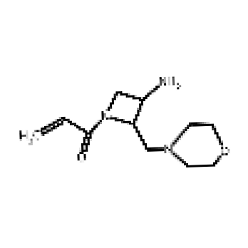 C=CC(=O)N1CC(N)C1CN1CCOCC1